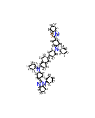 c1ccc(N(c2ccc(-c3ccc4cc(N(c5ccccc5)c5ccc(-c6nc7ccccc7n6-c6ccccc6)cc5)ccc4c3)cc2)c2ccc(-c3nc4ccccc4s3)cc2)cc1